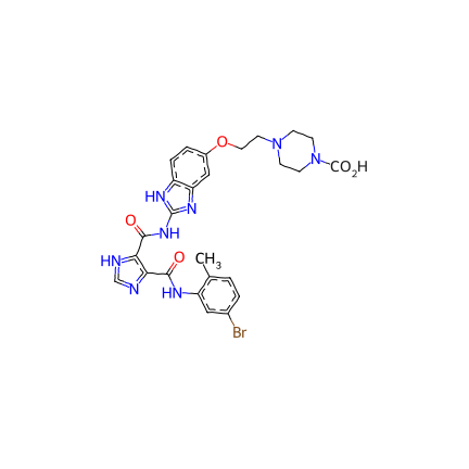 Cc1ccc(Br)cc1NC(=O)c1nc[nH]c1C(=O)Nc1nc2cc(OCCN3CCN(C(=O)O)CC3)ccc2[nH]1